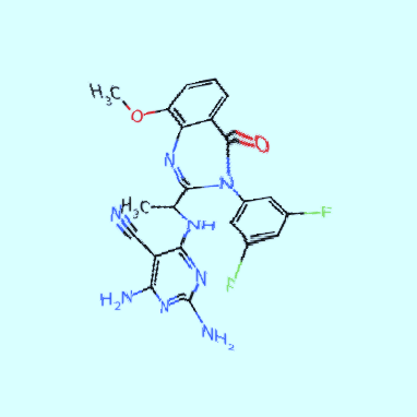 COc1cccc2c(=O)n(-c3cc(F)cc(F)c3)c(C(C)Nc3nc(N)nc(N)c3C#N)nc12